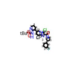 CC(C)(C)OC(=O)Nc1ncccc1-c1cc(C(F)(F)F)c2nc(C(=O)N3CCC(c4cccc(F)c4)C3)c(Cl)n2c1